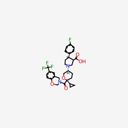 O=C(O)C1CN([C@@H]2CC[C@@](C(=O)N3COc4ccc(C(F)(F)F)cc4C3)(C3CC3)OC2)CC[C@H]1c1ccc(F)cc1